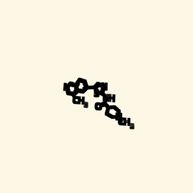 Cc1cncc2ccc(-c3cnc(NC(=O)C4CCN(C)CC4)s3)cc12